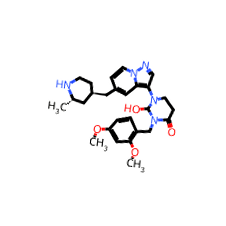 COc1ccc(CN2C(=O)CCN(c3cnn4ccc(C[C@@H]5CCN[C@@H](C)C5)cc34)C2O)c(OC)c1